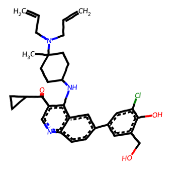 C=CCN(CC=C)C1(C)CCC(Nc2c(C(=O)C3CC3)cnc3ccc(-c4cc(Cl)c(O)c(CO)c4)cc23)CC1